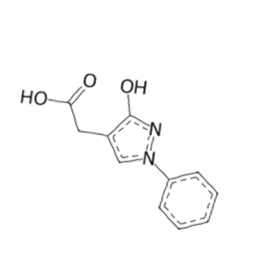 O=C(O)Cc1cn(-c2ccccc2)nc1O